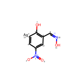 O=[N+]([O-])c1ccc(O)c(/C=N\O)c1.[Ag+]